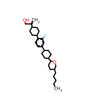 C=C(CO)C1CCC(c2ccc(C3CCC(C4CCC(CCCCC)CO4)CC3)cc2F)CC1